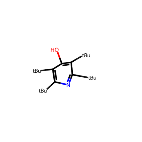 CC(C)(C)c1nc(C(C)(C)C)c(C(C)(C)C)c(O)c1C(C)(C)C